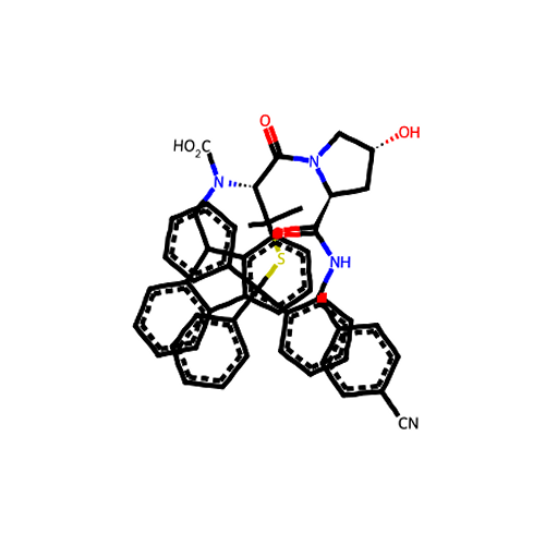 CC(C)(SC(c1ccccc1)(c1ccccc1)c1ccccc1)[C@@H](C(=O)N1C[C@H](O)C[C@H]1C(=O)NCc1ccc(C#N)cc1)N(CC1c2ccccc2-c2ccccc21)C(=O)O